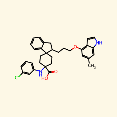 Cc1cc(OCCCC2Cc3ccccc3C23CCC(Nc2cccc(Cl)c2)(C(=O)O)CC3)c2cc[nH]c2c1